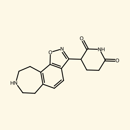 O=C1CCC(c2noc3c4c(ccc23)CCNCC4)C(=O)N1